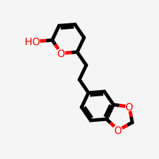 OC1C=CCC(CCc2ccc3c(c2)OCO3)O1